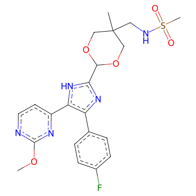 COc1nccc(-c2[nH]c(C3OCC(C)(CNS(C)(=O)=O)CO3)nc2-c2ccc(F)cc2)n1